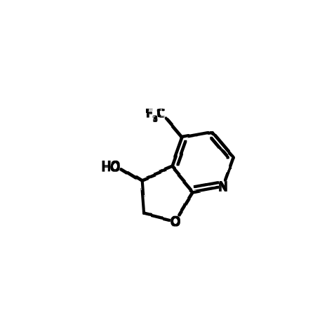 OC1COc2nccc(C(F)(F)F)c21